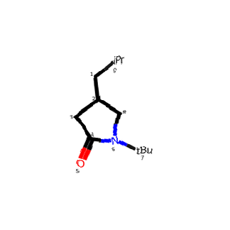 CC(C)CC1CC(=O)N(C(C)(C)C)C1